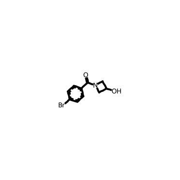 O=C(c1ccc(Br)cc1)N1CC(O)C1